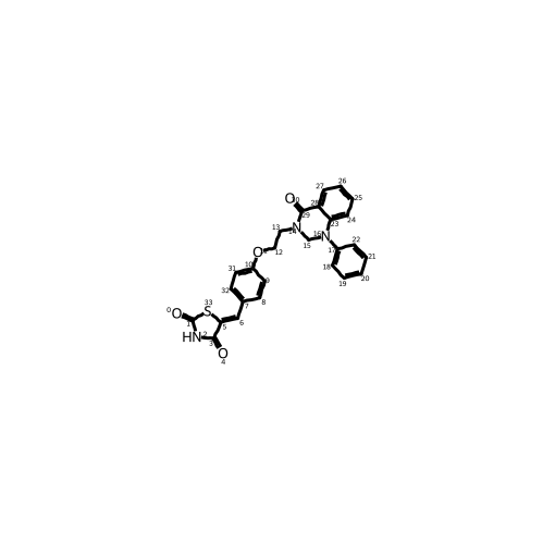 O=C1NC(=O)C(=Cc2ccc(OCCN3CN(c4ccccc4)c4ccccc4C3=O)cc2)S1